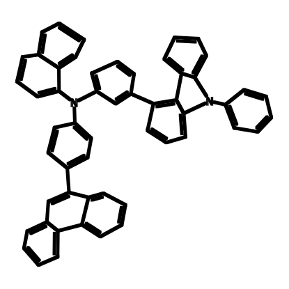 c1ccc(-n2c3ccccc3c3c(-c4cccc(N(c5ccc(-c6cc7ccccc7c7ccccc67)cc5)c5cccc6ccccc56)c4)cccc32)cc1